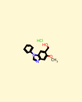 COc1cc2ncn(-c3ccccc3)c2cc1CO.Cl